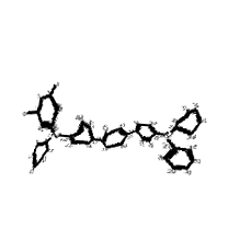 Cc1cc(C)cc(N(c2ccccc2)c2ccc(-c3ccc(-c4ccc(N(c5ccccc5)c5ccccc5)cc4)cc3)cc2)c1